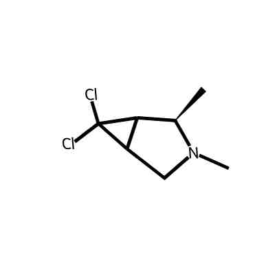 C[C@@H]1C2C(CN1C)C2(Cl)Cl